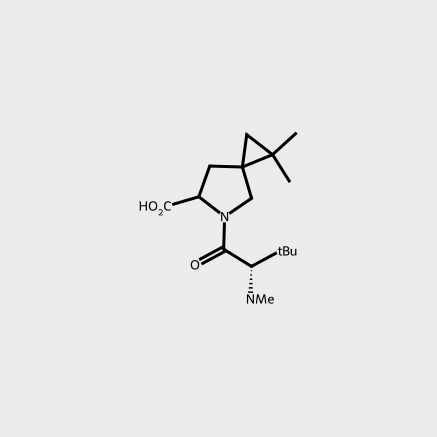 CN[C@H](C(=O)N1CC2(CC1C(=O)O)CC2(C)C)C(C)(C)C